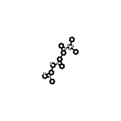 c1ccc(-c2nc(-c3ccccc3)nc(-n3c4ccccc4c4cc(-c5ccc6c(c5)c5ccccc5n6-c5cncc(-c6ccc7c(c6)c6ncccc6n7-c6ccccc6)c5)ccc43)n2)cc1